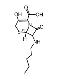 CCCCCNC1C(=O)N2C(C(=O)O)=C(O)CS[C@@H]12